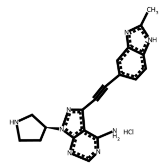 Cc1nc2cc(C#Cc3nn([C@H]4CCNC4)c4ncnc(N)c34)ccc2[nH]1.Cl